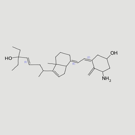 C=C1/C(=C\C=C2/CCCC3(C)C(C(C)C/C=C/C(O)(CC)CC)=CCC23)CC(O)CC1N